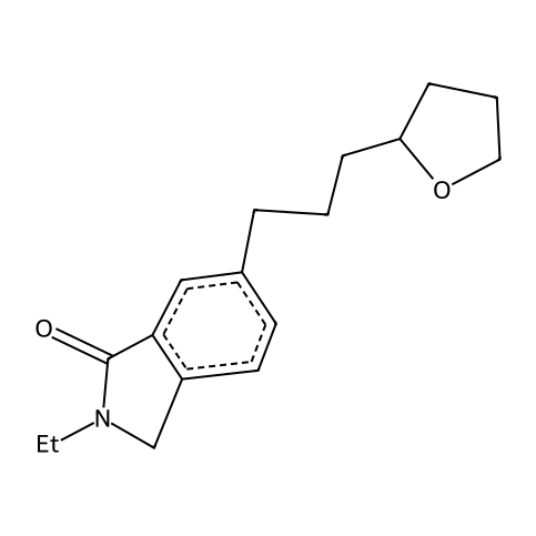 CCN1Cc2ccc(CCCC3CCCO3)cc2C1=O